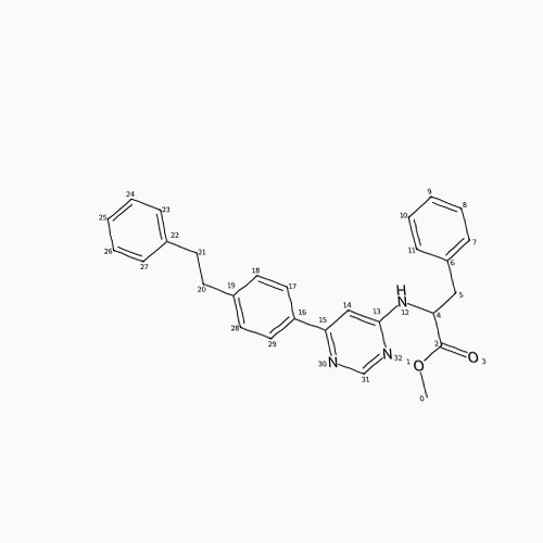 COC(=O)C(Cc1ccccc1)Nc1cc(-c2ccc(CCc3ccccc3)cc2)ncn1